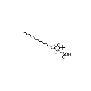 CCCCCCCCCCCCCCCC(=O)N[C@@H](CCC(=O)O)C(=O)C(C)(C)C